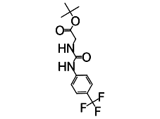 CC(C)(C)OC(=O)CNC(=O)Nc1ccc(C(F)(F)F)cc1